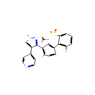 CCn1cc(-c2ccncc2)c(-c2c(F)ccc(-c3c(F)cccc3S(=O)(=O)OC(N)=O)c2F)n1